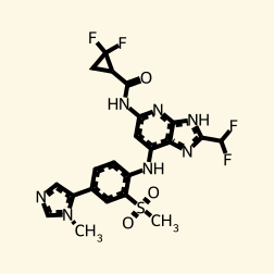 Cn1cncc1-c1ccc(Nc2cc(NC(=O)C3CC3(F)F)nc3[nH]c(C(F)F)nc23)c(S(C)(=O)=O)c1